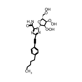 CCCCCc1ccc(C#Cc2nc(C(N)=O)n([C@@H]3O[C@H](COO)[C@@H](OO)[C@H]3OO)n2)cc1